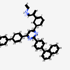 C=C/N=C\C(=C)C1=CC=CC(c2cc(C3=CCC(c4ccccc4)C=C3)nc(-c3ccc(-c4cccc5ccccc45)cc3)n2)C1